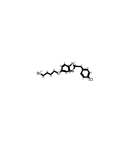 Clc1ccc(Cc2nc3ccc(OCCCCBr)cc3s2)cc1